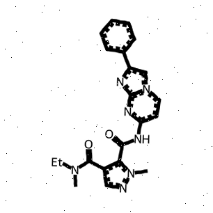 CCN(C)C(=O)c1cnn(C)c1C(=O)Nc1ccn2cc(-c3ccccc3)nc2n1